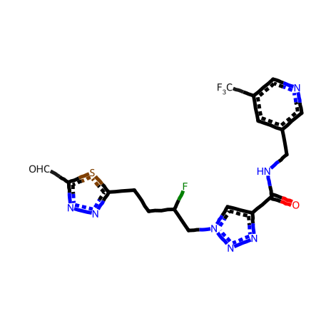 O=Cc1nnc(CCC(F)Cn2cc(C(=O)NCc3cncc(C(F)(F)F)c3)nn2)s1